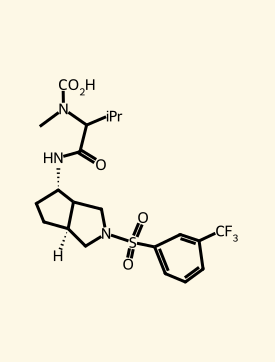 CC(C)C(C(=O)N[C@H]1CC[C@@H]2CN(S(=O)(=O)c3cccc(C(F)(F)F)c3)CC21)N(C)C(=O)O